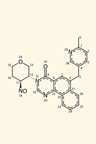 Cc1ccc(Cc2cc3c(=O)n([C@H]4COCC[C@@H]4N=O)cnc3c3ccccc23)cn1